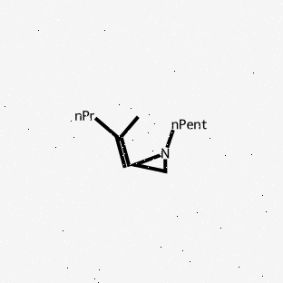 C=C(C)CCC.CCCCCN1CC1